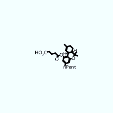 CCCCCc1cc(OC(=O)CCCC(=O)O)c2c(c1)OC(C)(C)[C@@H]1CCC(C)=C[C@@H]21